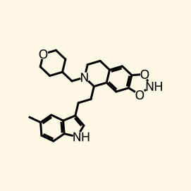 Cc1ccc2[nH]cc(CCC3c4cc5c(cc4CCN3CC3CCOCC3)ONO5)c2c1